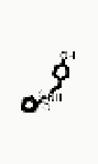 O=S(=O)(NCCC1CCC(O)CC1)c1ccccc1